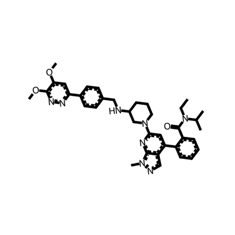 CCN(C(=O)c1ccccc1-c1cc(N2CCCC(NCc3ccc(-c4cc(OC)c(OC)nn4)cc3)C2)nc2c1cnn2C)C(C)C